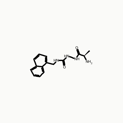 C[C@@H](N)C(=O)NNC(=O)NCc1cccc2ccccc12